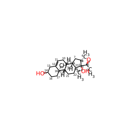 CC(=O)[C@@]1(O)[C@@H](C)C[C@H]2[C@@H]3CC=C4CC(O)CC[C@]4(C)[C@H]3CC[C@@]21C